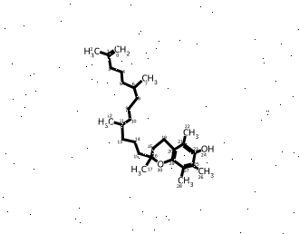 C=C(C)CCCC(C)CCCC(C)CCCC1(C)CCc2c(C)c(O)c(C)c(C)c2O1